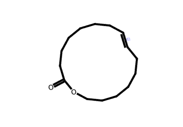 O=C1CCCCCC/C=C/CCCCCCO1